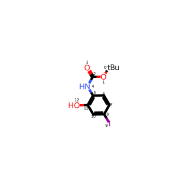 CC(C)(C)OC(=O)Nc1ccc(I)cc1O